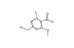 COc1cc(CCl)cc(F)c1[N+](=O)[O-]